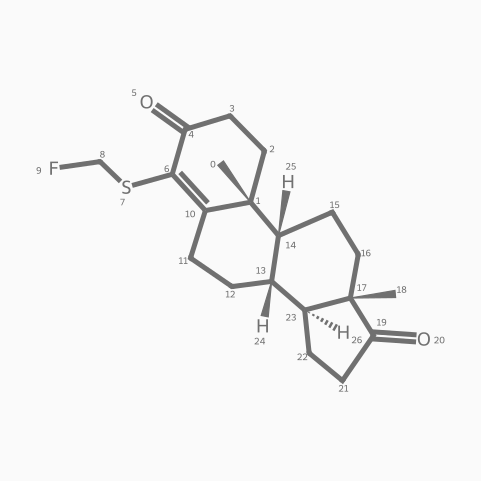 C[C@]12CCC(=O)C(SCF)=C1CC[C@@H]1[C@H]2CC[C@]2(C)C(=O)CC[C@@H]12